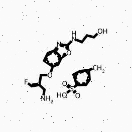 Cc1ccc(S(=O)(=O)O)cc1.NC/C(=C/F)COc1ccc2nc(NCCCO)oc2c1